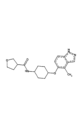 Cc1c(OC2CCC(NC(=O)C3CCOC3)CC2)ccc2[nH]ncc12